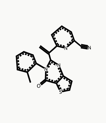 C=C(c1cccc(C#N)n1)c1nc2ccsc2c(=O)n1-c1ccccc1C